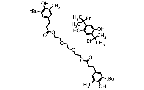 CCC(C)(C)c1cc(O)c(C(C)(C)CC)cc1O.Cc1cc(CCC(=O)OCCOCCOCCOC(=O)CCc2cc(C)c(O)c(C(C)(C)C)c2)cc(C(C)(C)C)c1O